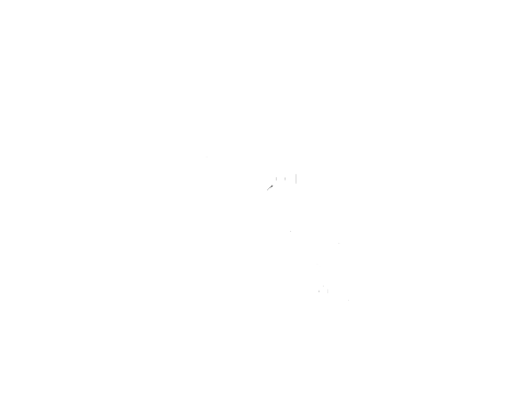 CCCCOCC[C@@H](O)CC(=O)CC(=O)OC(C)(C)C